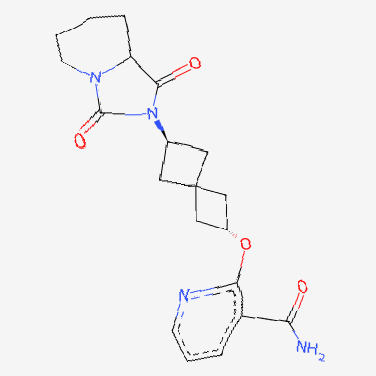 NC(=O)c1cccnc1O[C@H]1CC2(C1)C[C@H](N1C(=O)C3CCCCN3C1=O)C2